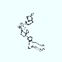 CC(C)CC1c2ccc(N3CC[C@H](NS(=O)(=O)c4ccc5cc(Cl)ccc5c4)C3=O)cc2CCN1C(=O)O